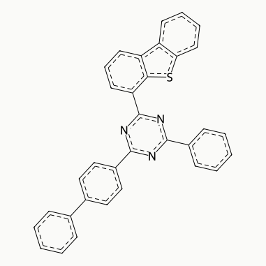 c1ccc(-c2ccc(-c3nc(-c4ccccc4)nc(-c4cccc5c4sc4ccccc45)n3)cc2)cc1